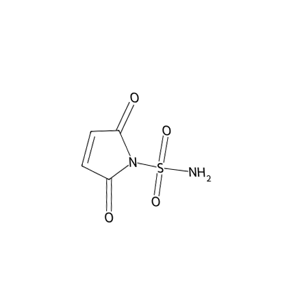 NS(=O)(=O)N1C(=O)C=CC1=O